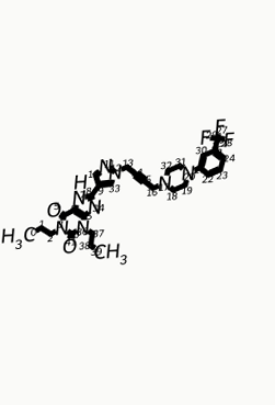 CCCn1c(=O)c2[nH]c(-c3cnn(CC#CCN4CCN(c5cccc(C(F)(F)F)c5)CC4)c3)nc2n(CCC)c1=O